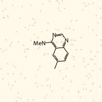 CNc1ncnc2ccc(C)cc12